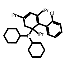 CC(C)C1=CC(C(C)C)=C(c2ccccc2Cl)C(C(C)C)(P(C2CCCCC2)C2CCCCC2)C1